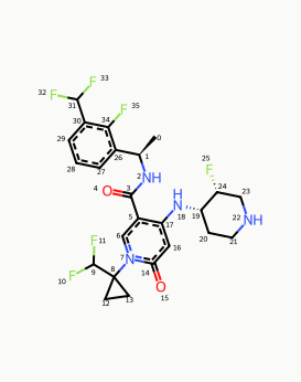 C[C@@H](NC(=O)c1cn(C2(C(F)F)CC2)c(=O)cc1N[C@H]1CCNC[C@H]1F)c1cccc(C(F)F)c1F